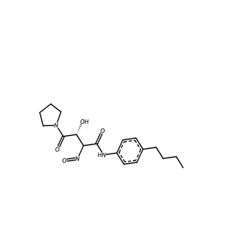 CCCCc1ccc(NC(=O)C(N=O)[C@@H](O)C(=O)N2CCCC2)cc1